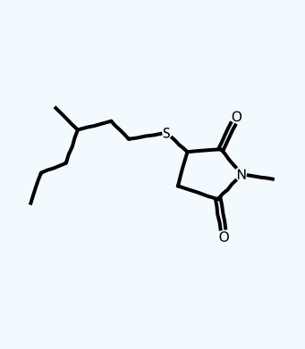 CCCC(C)CCSC1CC(=O)N(C)C1=O